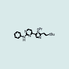 CCCn1c(-c2ccnc(Nc3ccccc3)n2)cnc1C=CC(C)(C)C